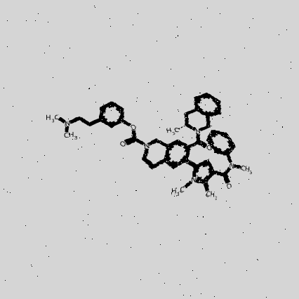 Cc1c(C(=O)N(C)c2ccccc2)cc(-c2cc3c(cc2C(=O)N2Cc4ccccc4C[C@H]2C)CN(C(=O)Oc2cccc(CCN(C)C)c2)CC3)n1C